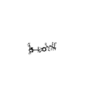 O=C(NCC(F)(F)C(F)(F)F)c1ccc2nc(-c3cc(Cl)cc(Cl)c3)oc2c1